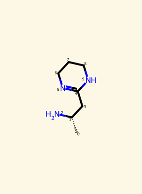 C[C@H](N)CC1=NCCCN1